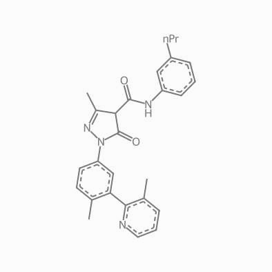 CCCc1cccc(NC(=O)C2C(=O)N(c3ccc(C)c(-c4ncccc4C)c3)N=C2C)c1